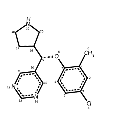 Cc1cc(Cl)ccc1O[C@H](c1cncnc1)C1CCNC1